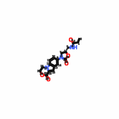 CCC(=O)NC[C@H]1CN(c2ccc3c(c2)cc2n3CCOC2=O)C(=O)O1